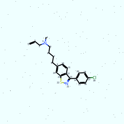 C=CCN(C)CCCCc1ccc2c(-c3ccc(Cl)cc3)nsc2c1